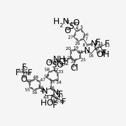 NS(=O)(=O)c1ccc(C2=NC(O)(C(F)(F)F)CN2c2ccc(Cl)c(Cl)c2)cc1.NS(=O)(=O)c1ccc(C2=NC(O)(C(F)(F)F)CN2c2ccc(OC(F)(F)F)cc2)cc1